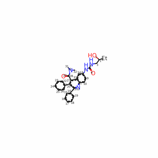 CCC(O)CNC(=O)Nc1ccc2nc(-c3ccccc3)c(-c3ccccc3)c(C(=O)N(C)C)c2c1